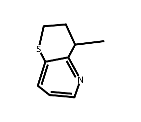 CC1CCSc2cccnc21